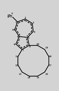 CC(C)c1cccc2c3c(cc-2c1)CCCCCCCCCC3